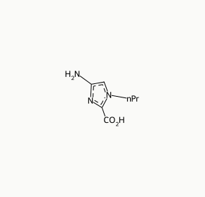 CCCn1cc(N)nc1C(=O)O